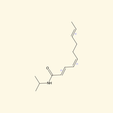 C/C=C/CC/C=C\C=C\C(=O)NC(C)C